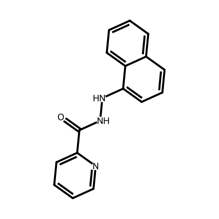 O=C(NNc1cccc2ccccc12)c1ccccn1